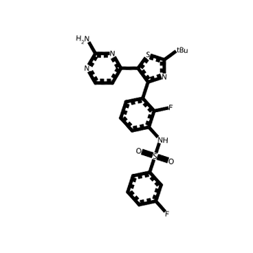 CC(C)(C)c1nc(-c2cccc(NS(=O)(=O)c3cccc(F)c3)c2F)c(-c2ccnc(N)n2)s1